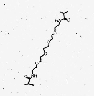 CC(C)C(=O)NCCOCCOCCOCCOCCNC(=O)C(C)C